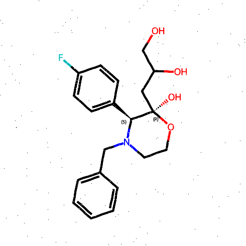 OCC(O)C[C@@]1(O)OCCN(Cc2ccccc2)[C@H]1c1ccc(F)cc1